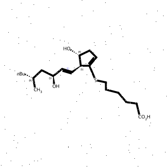 CCCC[C@@H](C)C[C@H](O)/C=C/[C@@H]1C(SCCCCCC(=O)O)=CC[C@H]1O